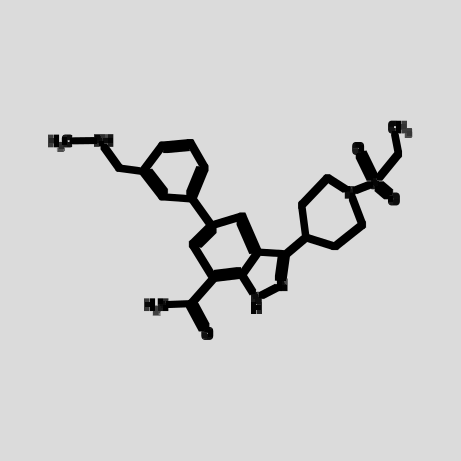 CCS(=O)(=O)N1CCC(c2n[nH]c3c(C(N)=O)cc(-c4cccc(CNC)c4)cc23)CC1